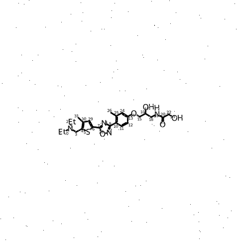 CCN(CC)Cc1sc(-c2nc(-c3ccc(OCC(O)CNC(=O)CO)cc3C)no2)cc1C